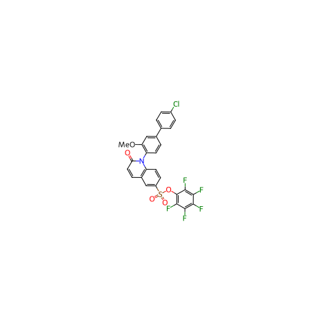 COc1cc(-c2ccc(Cl)cc2)ccc1-n1c(=O)ccc2cc(S(=O)(=O)Oc3c(F)c(F)c(F)c(F)c3F)ccc21